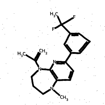 C=C(C)N1CCCN(C)c2ccc(-c3cccc(C(C)(F)F)c3)nc21